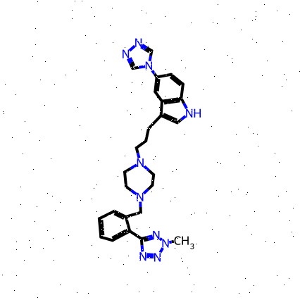 Cn1nnc(-c2ccccc2CN2CCN(CCCc3c[nH]c4ccc(-n5cnnc5)cc34)CC2)n1